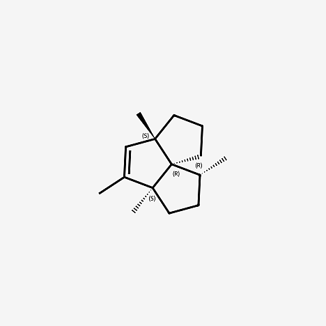 CC1=C[C@]2(C)CCC[C@@]23[C@H](C)CC[C@@]13C